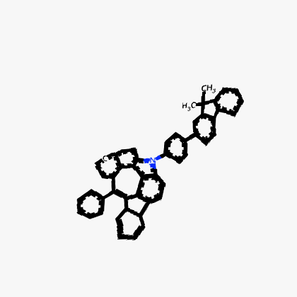 CC1(C)c2ccccc2-c2ccc(-c3ccc(-n4c5ccc6c7c5c5c8c(cccc8ccc54)C(c4ccccc4)=C7C4C=CC=CC64)cc3)cc21